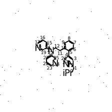 CC(C)Cn1cc(-c2ccccc2CCN(c2cccnc2)c2cccnc2)cn1